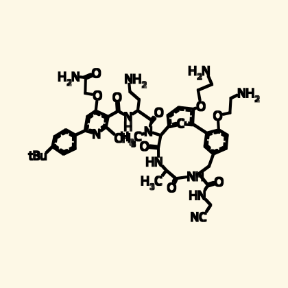 Cc1nc(-c2ccc(C(C)(C)C)cc2)cc(OCC(N)=O)c1C(=O)NC(CCN)C(=O)N(C)C1C(=O)NC(C)C(=O)NC(C(=O)NCC#N)Cc2ccc(OCCN)c(c2)-c2cc1ccc2OCCN